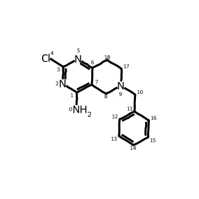 Nc1nc(Cl)nc2c1CN(Cc1ccccc1)CC2